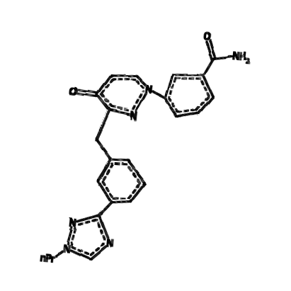 CCCn1cnc(-c2cccc(Cc3nn(-c4cccc(C(N)=O)c4)ccc3=O)c2)n1